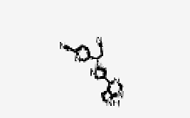 N#CCC(c1ccc(C#N)nc1)n1cc(-c2ncnc3[nH]ccc23)cn1